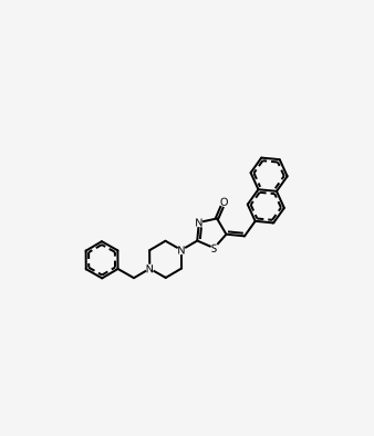 O=C1N=C(N2CCN(Cc3ccccc3)CC2)SC1=Cc1ccc2ccccc2c1